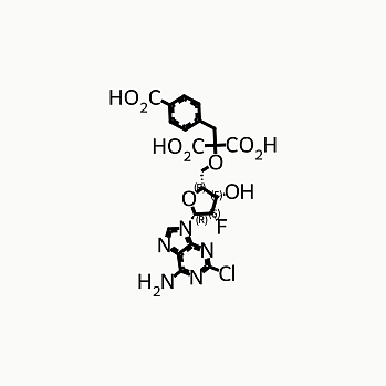 Nc1nc(Cl)nc2c1ncn2[C@@H]1O[C@H](COC(Cc2ccc(C(=O)O)cc2)(C(=O)O)C(=O)O)[C@H](O)[C@@H]1F